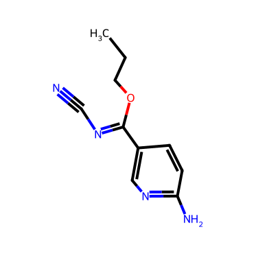 CCCO/C(=N\C#N)c1ccc(N)nc1